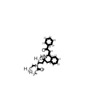 CCN(CCC1(C)Cc2ccccc2/C(=C/C(=O)c2ccccc2)N1)C(C)=O